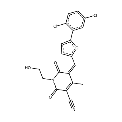 CC1=C(C#N)C(=O)N(CCO)C(=O)/C1=C\c1ccc(-c2cc(Cl)ccc2Cl)o1